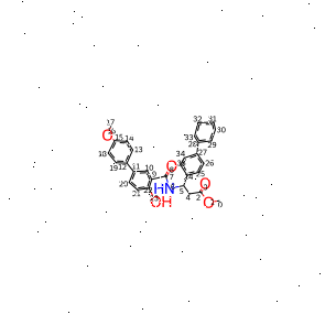 COC(=O)CC(NC(=O)c1cc(-c2ccc(OC)cc2)ccc1O)c1ccc(-c2ccccc2)cc1